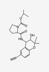 CC(C)OC(=O)N1CCCC1C(=O)NC1c2cc(C#N)ccc2OC(C)(C)C1O